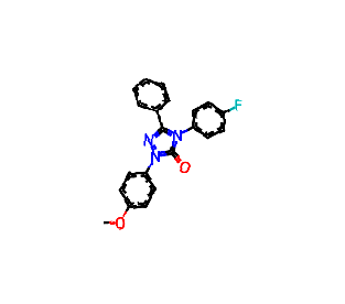 COc1ccc(-n2nc(-c3ccccc3)n(-c3ccc(F)cc3)c2=O)cc1